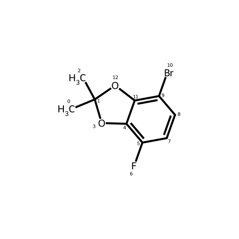 CC1(C)Oc2c(F)ccc(Br)c2O1